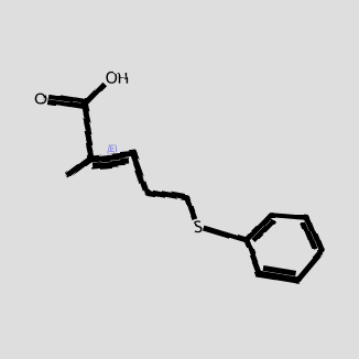 C/C(=C\CCSc1ccccc1)C(=O)O